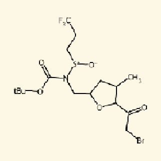 CC1CC(CN(C(=O)OC(C)(C)C)[S+]([O-])CCC(F)(F)F)OC1C(=O)CBr